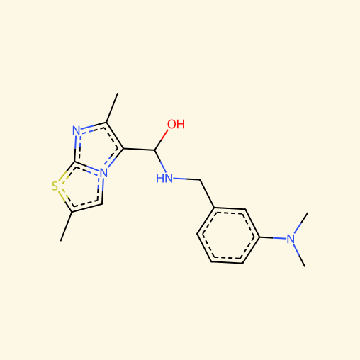 Cc1cn2c(C(O)NCc3cccc(N(C)C)c3)c(C)nc2s1